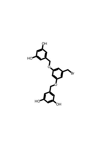 Oc1cc(O)cc(COc2cc(CBr)cc(OCc3cc(O)cc(O)c3)c2)c1